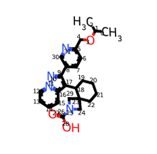 CC(C)OCc1ccc(-c2nn3ccccc3c2C2CCCCC23CN(C(=O)O)C3)cn1